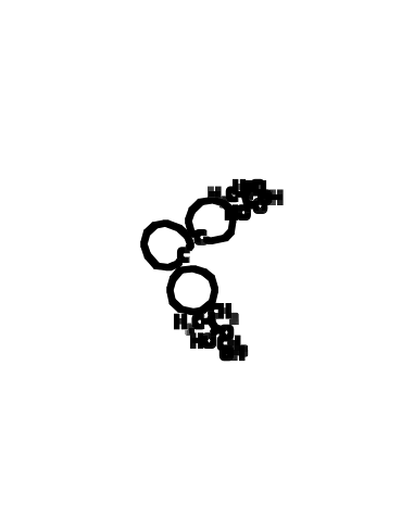 C1CCCCCCCCCCC1.C1CCCCCCCCCCC1.C1CCCCCCCCCCC1.C=C(C)C(=O)O.C=C(C)C(=O)O.CO.CO